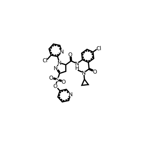 CN(C(=O)c1cc(Cl)ccc1NC(=O)C1CC(S(=O)(=O)Oc2cccnc2)=NN1c1ncccc1Cl)C1CC1